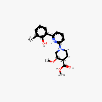 CCO[C@H]1CN(c2cccc(-c3cccc(C)c3O)n2)CC[C@H]1C(=O)OC(C)(C)C